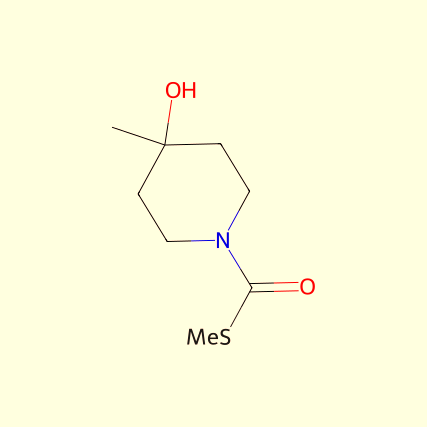 CSC(=O)N1CCC(C)(O)CC1